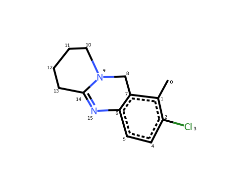 Cc1c(Cl)ccc2c1CN1CCCCC1=N2